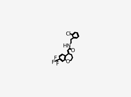 O=C(C=C1CCCOc2cc(C(F)(F)F)ccc21)NCCc1ccccc1Cl